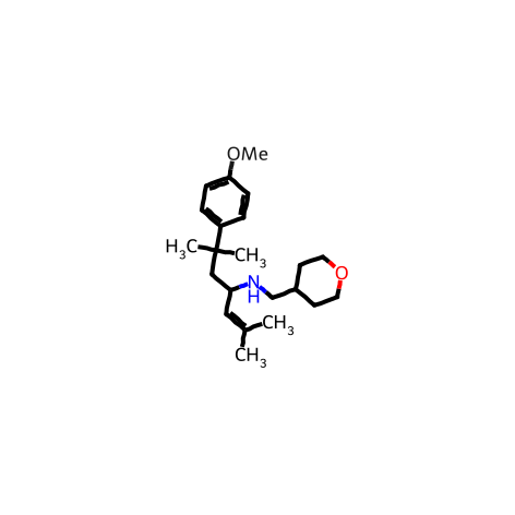 COc1ccc(C(C)(C)CC(C=C(C)C)NCC2CCOCC2)cc1